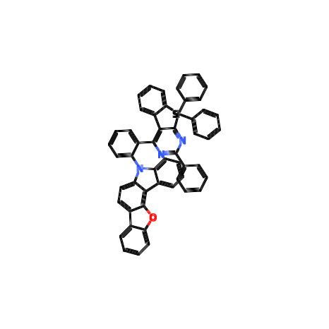 c1ccc(-c2nc(-c3ccccc3-n3c4ccccc4c4c5oc6ccccc6c5ccc43)c3c(n2)[Si](c2ccccc2)(c2ccccc2)c2ccccc2-3)cc1